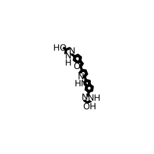 OC1CN=C(c2ccc3cc(-c4ccc(-c5cc6ccc(C7=NCC(O)CN7)cc6o5)cn4)[nH]c3c2)NC1